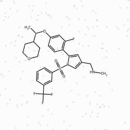 CNCc1cc(-c2ccc(OC(C)C3CCOCC3)cc2F)n(S(=O)(=O)c2cccc(C(F)(F)F)c2)c1